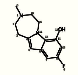 CN1CCc2cc3cc(F)cc(O)c3n2CC1